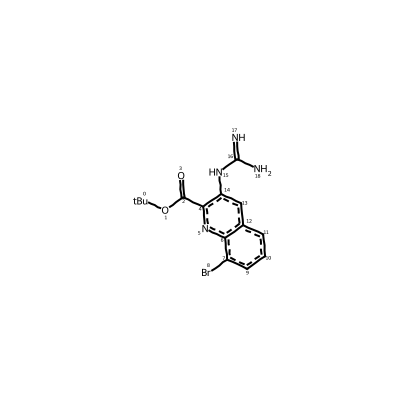 CC(C)(C)OC(=O)c1nc2c(Br)cccc2cc1NC(=N)N